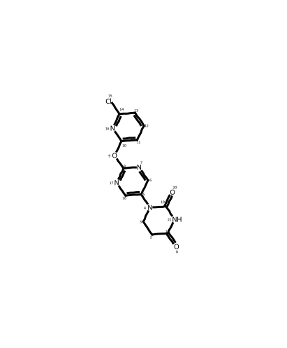 O=C1CCN(c2cnc(Oc3cccc(Cl)n3)nc2)C(=O)N1